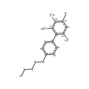 CCCCCc1ccc(-c2c(F)cc(C)c(F)c2F)cc1